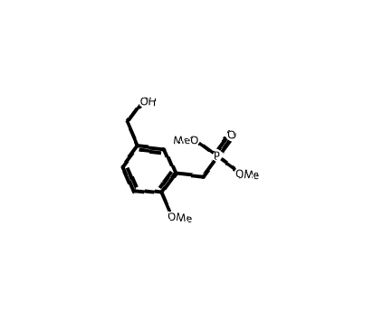 COc1ccc(CO)cc1CP(=O)(OC)OC